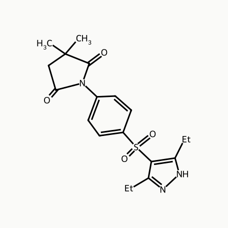 CCc1n[nH]c(CC)c1S(=O)(=O)c1ccc(N2C(=O)CC(C)(C)C2=O)cc1